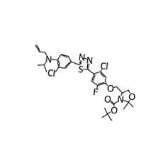 C=CCN(c1ccc(-c2nnc(-c3cc(F)c(OCC4COC(C)(C)N4C(=O)OC(C)(C)C)cc3Cl)s2)cc1Cl)C(C)C